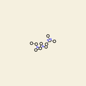 c1ccc(-c2cccc(-n3c4ccccc4c4ccc5c(c6ccccc6n5-c5cccc6cc(-c7cc(-c8ccccc8)nc(-c8ccccc8)n7)ccc56)c43)c2)cc1